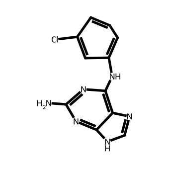 Nc1nc(Nc2cccc(Cl)c2)c2nc[nH]c2n1